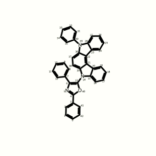 c1ccc(-c2nc(-c3ccccc3)c(-n3c4ccccc4c4c5c6ccccc6n(-c6ccccc6)c5ccc43)o2)cc1